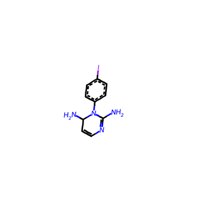 NC1=NC=CC(N)N1c1ccc(I)cc1